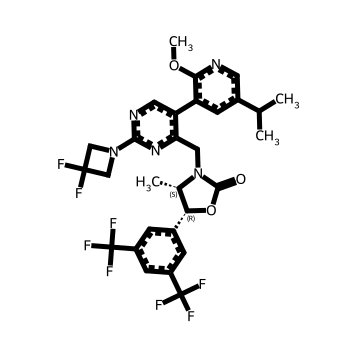 COc1ncc(C(C)C)cc1-c1cnc(N2CC(F)(F)C2)nc1CN1C(=O)O[C@H](c2cc(C(F)(F)F)cc(C(F)(F)F)c2)[C@@H]1C